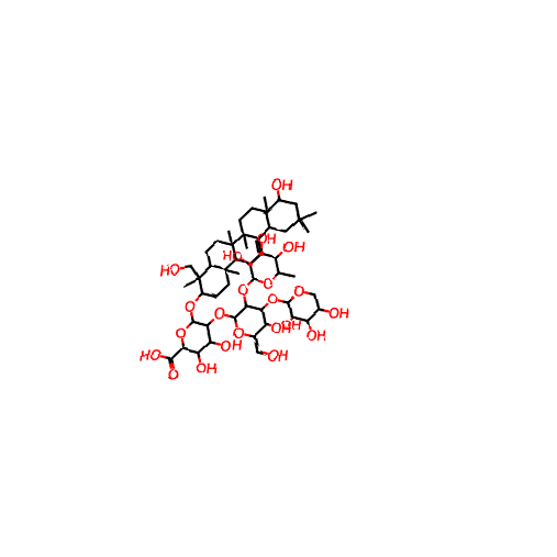 CC1OC(OC2C(OC3C(OC4CCC5(C)C(CCC6(C)C5CC=C5C7CC(C)(C)CC(O)C7(C)CCC56C)C4(C)CO)OC(C(=O)O)C(O)C3O)OC(CO)C(O)C2OC2OCC(O)C(O)C2O)C(O)C(O)C1O